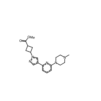 COC(=O)C1CC(n2cc(-c3cccc(N4CCN(C)CC4)n3)cn2)C1